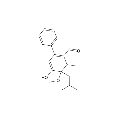 COC1(CC(C)C)C(O)=CC(c2ccccc2)=C(C=O)C1C